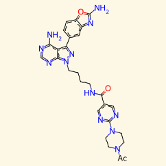 CC(=O)N1CCN(c2ncc(C(=O)NCCCCn3nc(-c4ccc5oc(N)nc5c4)c4c(N)ncnc43)cn2)CC1